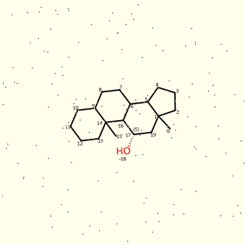 CC12CCCC1C1CCC3CCCCC3(C)C1[C@@H](O)C2